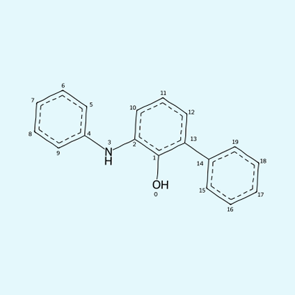 Oc1c(Nc2ccccc2)cccc1-c1ccccc1